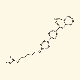 C=CC(=O)OCCCCCOc1ccc(-c2ccc(C(=O)Oc3ccccc3C#N)cc2)cc1